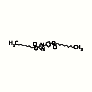 CCCCCCCCCC(=O)Oc1ccc(-c2ncc(OC(=O)CCCCCCCC)cn2)cc1